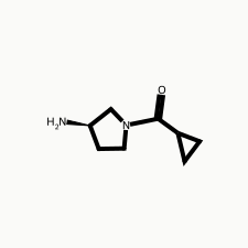 N[C@@H]1CCN(C(=O)C2CC2)C1